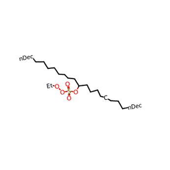 CCCCCCCCCCCCCCCCCCC(CCCCCCCCCCCCCCCCCC)OS(=O)(=O)OOCC